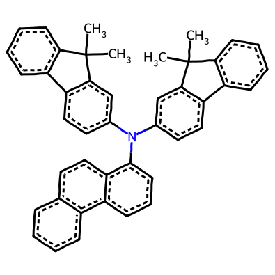 CC1(C)c2ccccc2-c2ccc(N(c3ccc4c(c3)C(C)(C)c3ccccc3-4)c3cccc4c3ccc3ccccc34)cc21